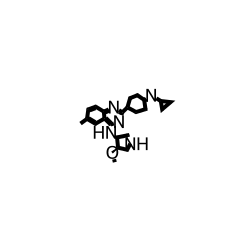 CO[C@@H]1CNC[C@H]1Nc1nc(C2CCC(=NC3CC3)CC2)nc2ccc(C)cc12